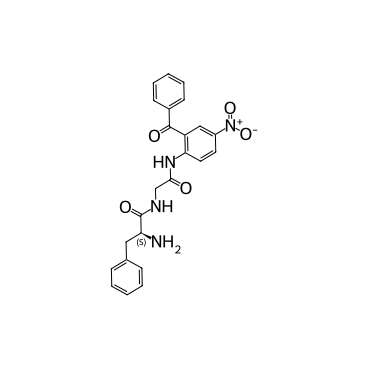 N[C@@H](Cc1ccccc1)C(=O)NCC(=O)Nc1ccc([N+](=O)[O-])cc1C(=O)c1ccccc1